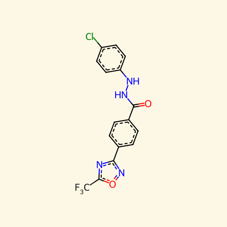 O=C(NNc1ccc(Cl)cc1)c1ccc(-c2noc(C(F)(F)F)n2)cc1